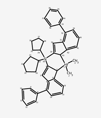 [CH3][Hf]1([CH3])[CH]2C(=Cc3c(-c4ccccc4)cccc32)[Si](C2CCCC2)(C2CCCC2)C2=Cc3c(-c4ccccc4)cccc3[CH]21